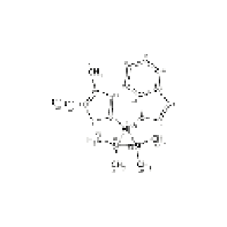 CC1=CC[C]([Hf+2]2([CH]3C=Cc4ccccc43)[Si](C)(C)[Si]2(C)C)=C1.[Cl-].[Cl-]